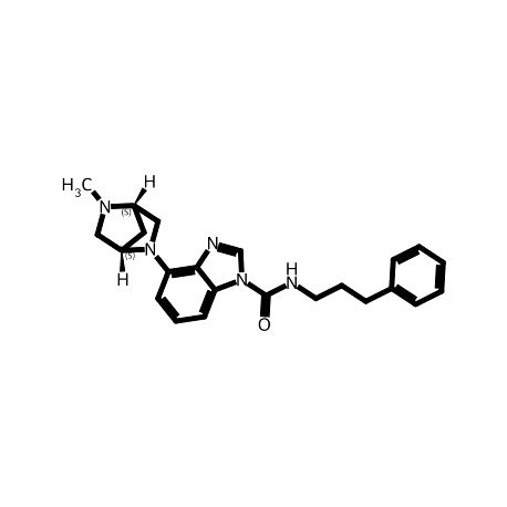 CN1C[C@@H]2C[C@H]1CN2c1cccc2c1ncn2C(=O)NCCCc1ccccc1